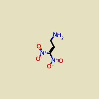 NCC=C([N+](=O)[O-])[N+](=O)[O-]